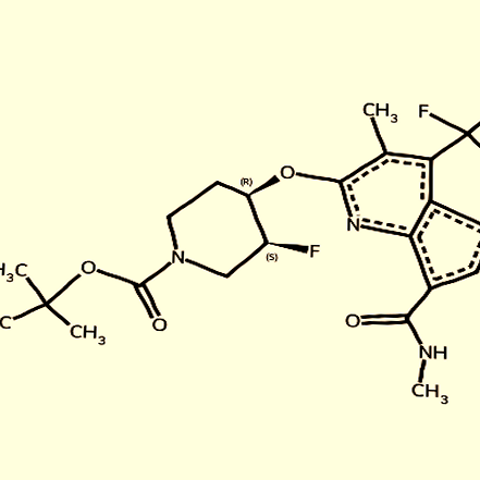 CNC(=O)c1csc2c(C(F)(F)F)c(C)c(O[C@@H]3CCN(C(=O)OC(C)(C)C)C[C@@H]3F)nc12